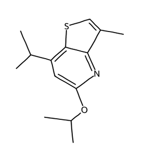 Cc1csc2c(C(C)C)cc(OC(C)C)nc12